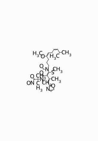 CO/C(=C/C/C=C\C(C)C)CCCN(C=O)/C(SC)=C(C(=O)N(C)C(C)(C)C(=O)N=O)/C(C)=C/c1ncco1